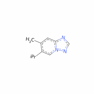 Cc1cc2ncnn2cc1C(C)C